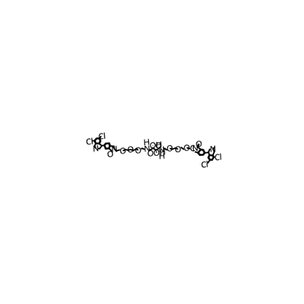 CN1Cc2c(Cl)cc(Cl)cc2C(c2ccc3c(c2)C(=O)N(CCOCCOCCOCCNC(=O)[C@@H](O)[C@@H](O)C(=O)NCCOCCOCCOCCN2Cc4ccc(C5CN(C)Cc6c(Cl)cc(Cl)cc65)cc4C2=O)C3)C1